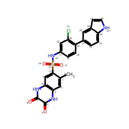 Cc1cc2[nH]c(=O)c(=O)[nH]c2cc1S(=O)(=O)Nc1ccc(-c2ccc3[nH]ccc3c2)c(Cl)c1